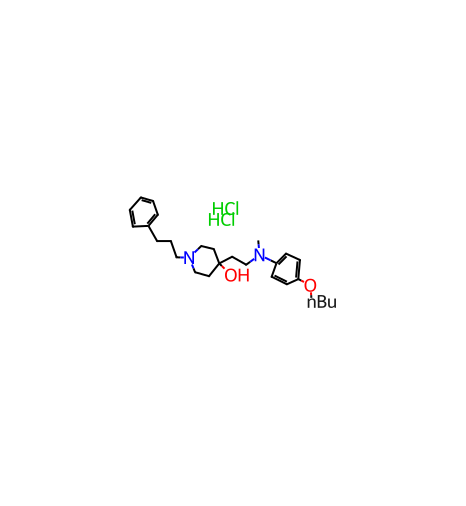 CCCCOc1ccc(N(C)CCC2(O)CCN(CCCc3ccccc3)CC2)cc1.Cl.Cl